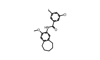 COc1cc2c(cc1NC(=O)c1cc(Cl)cc(I)c1)CCCCC2